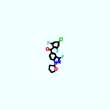 O=C(c1ccc2c(c1)c(F)nn2C1CCCCO1)c1c(F)cc(Cl)cc1F